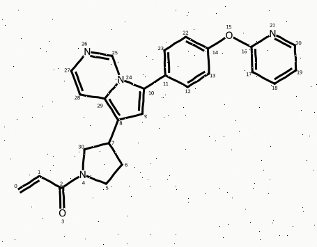 C=CC(=O)N1CCC(c2cc(-c3ccc(Oc4ccccn4)cc3)n3cnccc23)C1